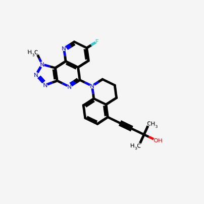 Cn1nnc2nc(N3CCCc4c(C#CC(C)(C)O)cccc43)c3cc(F)cnc3c21